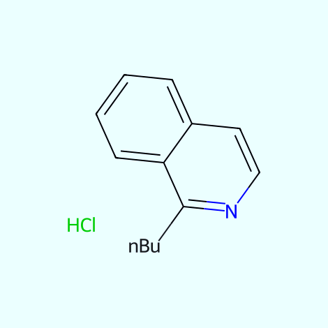 CCCCc1nccc2ccccc12.Cl